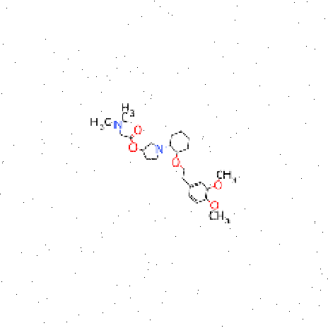 COc1ccc(CCO[C@@H]2CCCC[C@H]2N2CCC(OC(=O)CN(C)C)C2)cc1OC